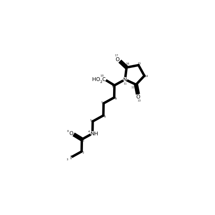 O=C(CI)NCCCCC(C(=O)O)N1C(=O)CCC1=O